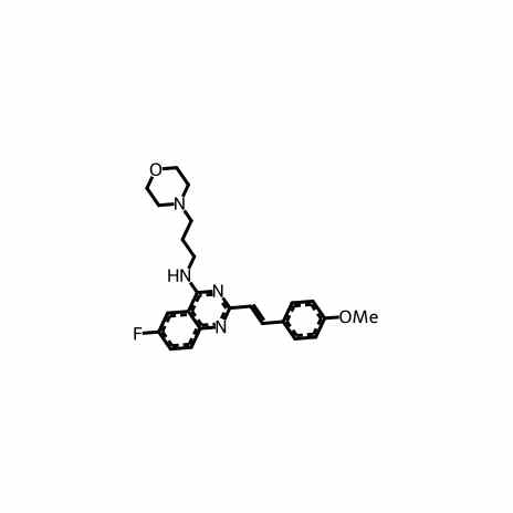 COc1ccc(C=Cc2nc(NCCCN3CCOCC3)c3cc(F)ccc3n2)cc1